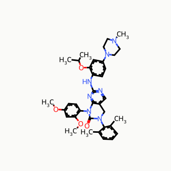 COc1ccc(N2C(=O)N(c3c(C)cccc3C)Cc3cnc(Nc4ccc(N5CCN(C)CC5)cc4OC(C)C)nc32)c(OC)c1